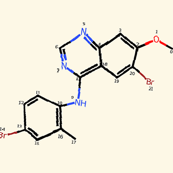 COc1cc2ncnc(Nc3ccc(Br)cc3C)c2cc1Br